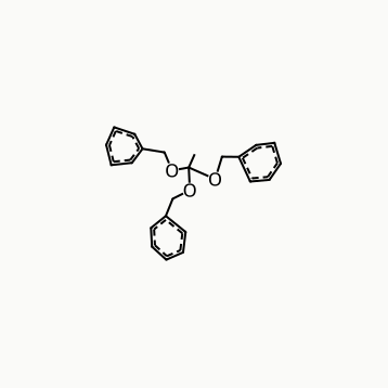 CC(OCc1ccccc1)(OCc1ccccc1)OCc1ccccc1